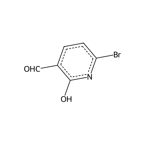 O=Cc1ccc(Br)nc1O